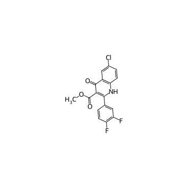 COC(=O)c1c(-c2ccc(F)c(F)c2)[nH]c2ccc(Cl)cc2c1=O